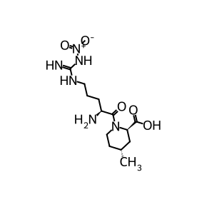 C[C@@H]1CCN(C(=O)[C@@H](N)CCCNC(=N)N[N+](=O)[O-])[C@@H](C(=O)O)C1